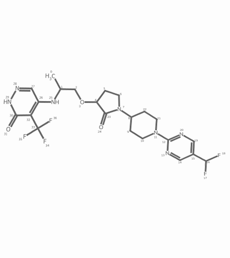 CC(COC1CCN(C2CCN(c3ncc(C(F)F)cn3)CC2)C1=O)Nc1cn[nH]c(=O)c1C(F)(F)F